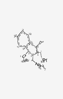 CCCCOc1c(CN)n(CC(C)C)c(=O)c2ccccc12